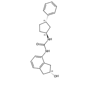 O=C(Nc1cccc2c1C[C@H](O)C2)N[C@H]1CC[C@H](c2ccccc2)C1